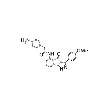 COc1ccc(C2=C3C(=O)c4c(NC(=O)Cc5ccc(N)cc5)cccc4C3N=N2)cc1